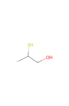 [CH2]C(S)CO